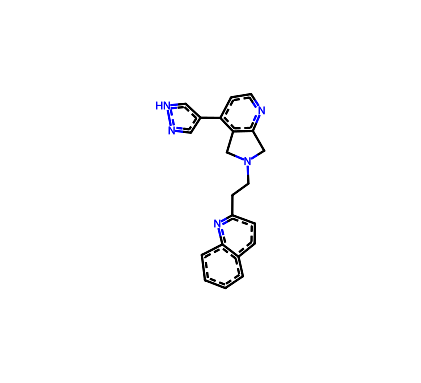 c1ccc2nc(CCN3Cc4nccc(-c5cn[nH]c5)c4C3)ccc2c1